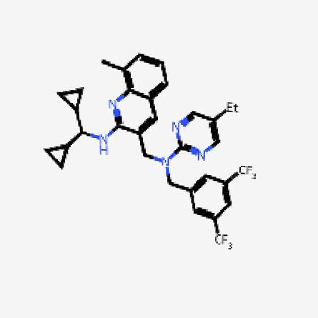 CCc1cnc(N(Cc2cc(C(F)(F)F)cc(C(F)(F)F)c2)Cc2cc3cccc(C)c3nc2NC(C2CC2)C2CC2)nc1